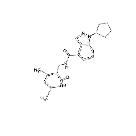 Cc1cc(C)c(CNC(=O)c2cccc3c2cnn3C2CCCC2)c(=O)[nH]1